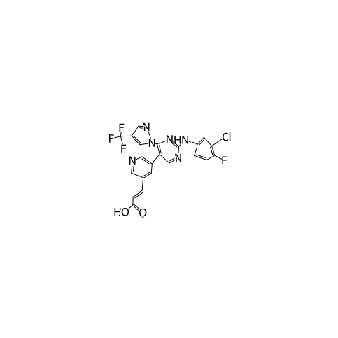 O=C(O)/C=C/c1cncc(-c2cnc(Nc3ccc(F)c(Cl)c3)nc2-n2cc(C(F)(F)F)cn2)c1